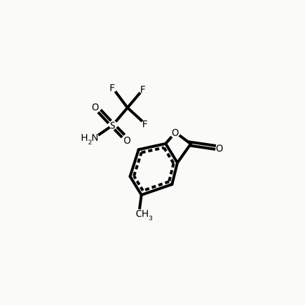 Cc1ccc2c(c1)C(=O)O2.NS(=O)(=O)C(F)(F)F